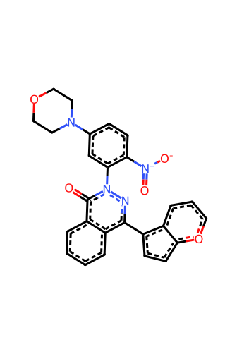 O=c1c2ccccc2c(-c2ccc3occcc2-3)nn1-c1cc(N2CCOCC2)ccc1[N+](=O)[O-]